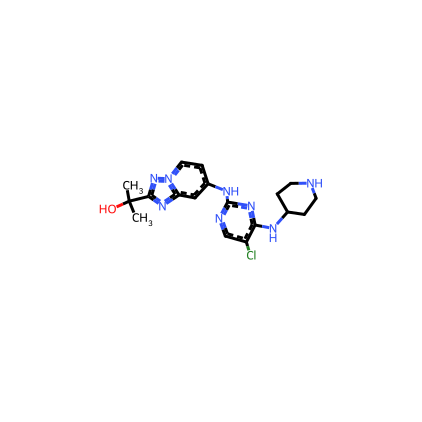 CC(C)(O)c1nc2cc(Nc3ncc(Cl)c(NC4CCNCC4)n3)ccn2n1